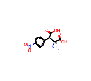 N[C@H](C(=O)O)C(C(=O)O)c1ccc([N+](=O)[O-])cc1